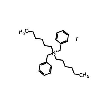 CCCCCC[N+](CCCCCC)(Cc1ccccc1)Cc1ccccc1.[I-]